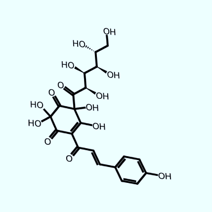 O=C(/C=C/c1ccc(O)cc1)C1=C(O)C(O)(C(=O)[C@H](O)[C@@H](O)[C@H](O)[C@H](O)CO)C(=O)C(O)(O)C1=O